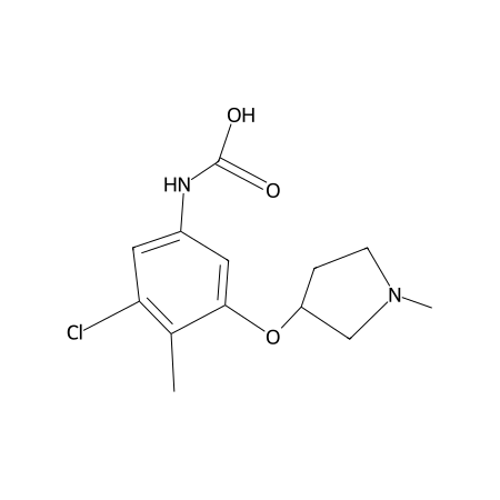 Cc1c(Cl)cc(NC(=O)O)cc1OC1CCN(C)C1